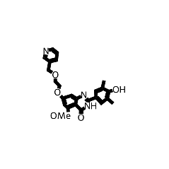 COc1cc(OCCOCc2cccnc2)cc2nc(-c3cc(C)c(O)c(C)c3)[nH]c(=O)c12